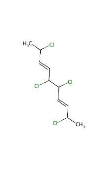 CC(Cl)C=CC(Cl)C(Cl)C=CC(C)Cl